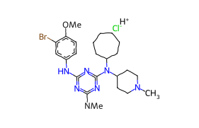 CNc1nc(Nc2ccc(OC)c(Br)c2)nc(N(C2CCCCCC2)C2CCN(C)CC2)n1.[Cl-].[H+]